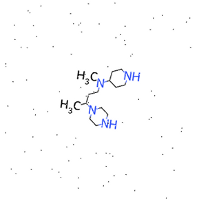 CC(CCN(C)C1CCNCC1)N1CCNCC1